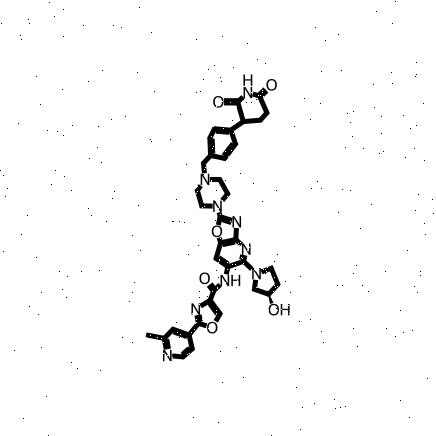 Cc1cc(-c2nc(C(=O)Nc3cc4oc(N5CCN(Cc6ccc(C7CCC(=O)NC7=O)cc6)CC5)nc4nc3N3CC[C@@H](O)C3)co2)ccn1